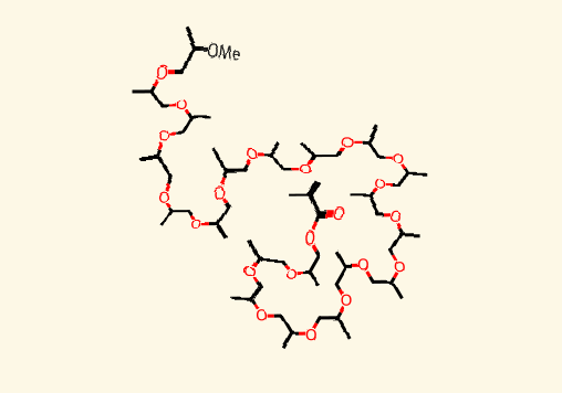 C=C(C)C(=O)OCC(C)OCC(C)OCC(C)OCC(C)OCC(C)OCC(C)OCC(C)OCC(C)OCC(C)OCC(C)OCC(C)OCC(C)OCC(C)OCC(C)OCC(C)OCC(C)OCC(C)OCC(C)OCC(C)OCC(C)OC